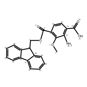 COc1c(C(=O)OCC2c3ccccc3-c3ccccc32)ccc(C(=O)O)c1N